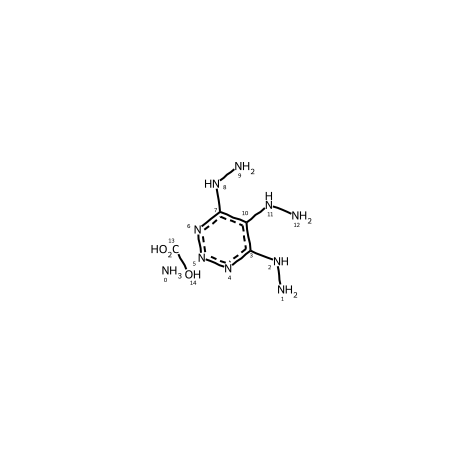 N.NNc1nnnc(NN)c1NN.O=C(O)O